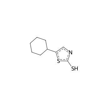 Sc1ncc(C2CCCCC2)s1